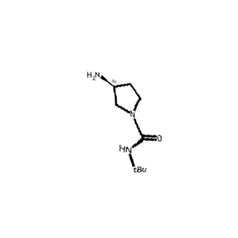 CC(C)(C)NC(=O)N1CC[C@H](N)C1